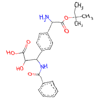 CC(C)(C)OC(=O)C(N)c1ccc(C(NC(=O)c2ccccc2)C(O)C(=O)O)cc1